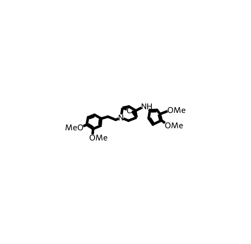 COc1ccc(CCN2CC3CCC2CC3Nc2ccc(OC)c(OC)c2)cc1OC